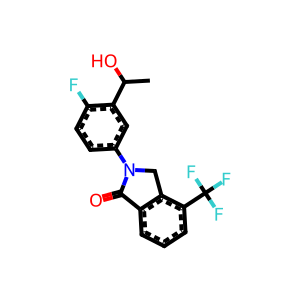 CC(O)c1cc(N2Cc3c(cccc3C(F)(F)F)C2=O)ccc1F